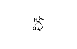 C=C(C)[C@@H]1CC[C@]2(C)CC1O2